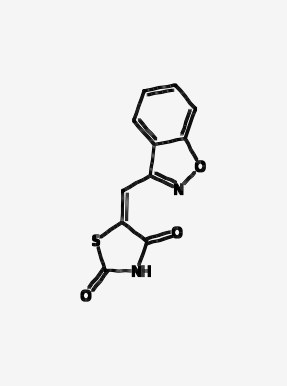 O=C1NC(=O)C(=Cc2noc3ccccc23)S1